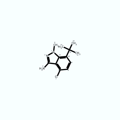 Cn1nc(N)c2c(Cl)ccc(C(C)(C)C)c21